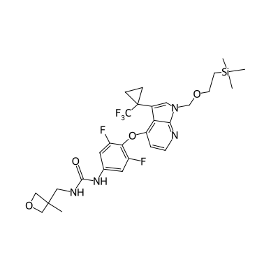 CC1(CNC(=O)Nc2cc(F)c(Oc3ccnc4c3c(C3(C(F)(F)F)CC3)cn4COCC[Si](C)(C)C)c(F)c2)COC1